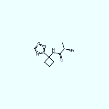 CC(C)[C@H](C)C(=O)NC1(c2ncon2)CCC1